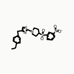 CCc1ccc(Cc2csc(N3CCC(S(=O)(=O)c4cccc([N+](=O)[O-])c4)CC3)n2)cc1